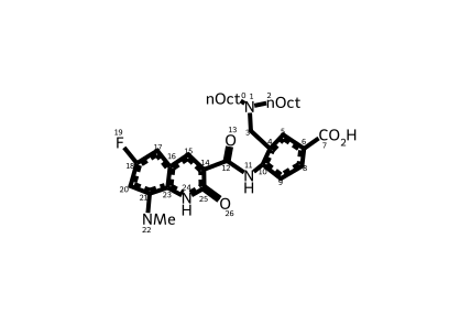 CCCCCCCCN(CCCCCCCC)Cc1cc(C(=O)O)ccc1NC(=O)c1cc2cc(F)cc(NC)c2[nH]c1=O